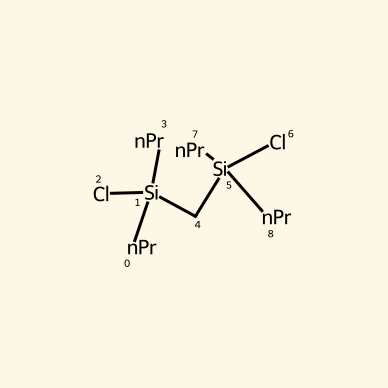 CCC[Si](Cl)(CCC)C[Si](Cl)(CCC)CCC